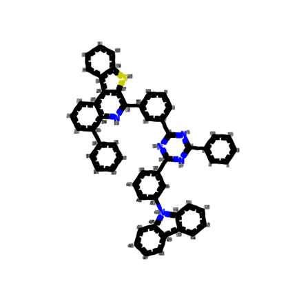 c1ccc(-c2nc(-c3cccc(-c4nc5c(-c6ccccc6)cccc5c5c4sc4ccccc45)c3)nc(-c3cccc(-n4c5ccccc5c5ccccc54)c3)n2)cc1